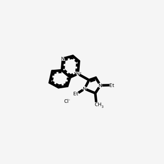 CCN1C=C([n+]2ccnc3ccccc32)N(CC)C1C.[Cl-]